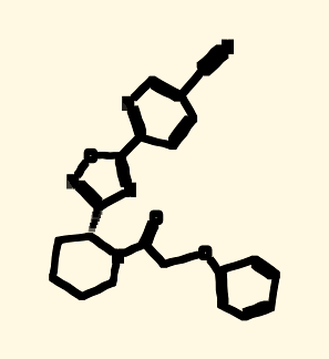 N#Cc1ccc(-c2nc([C@H]3CCCCN3C(=O)COc3ccccc3)no2)nc1